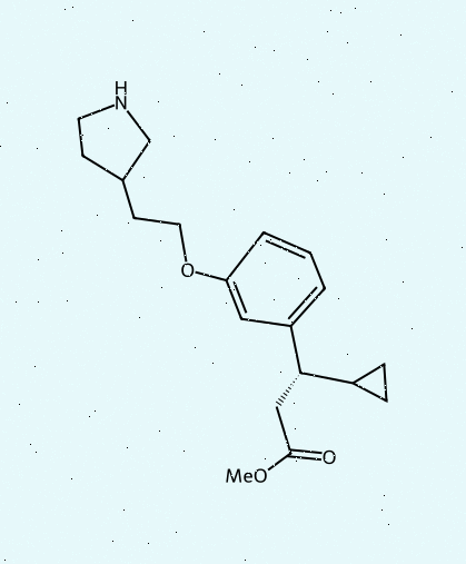 COC(=O)C[C@H](c1cccc(OCCC2CCNC2)c1)C1CC1